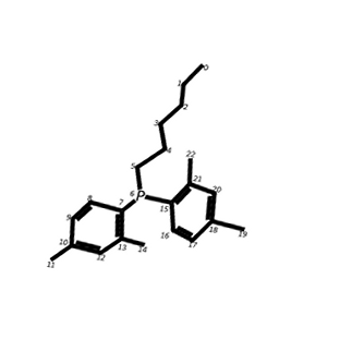 CCCCCCP(c1ccc(C)cc1C)c1ccc(C)cc1C